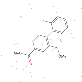 COCc1cc(C(=O)OC)ccc1-c1ccccc1C